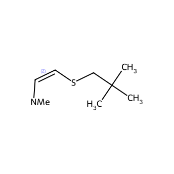 CN/C=C\SCC(C)(C)C